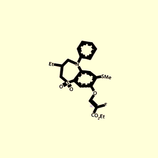 CCOC(=O)/C(F)=C/Oc1cc2c(cc1SC)N(c1ccccc1)CC(CC)CS2(=O)=O